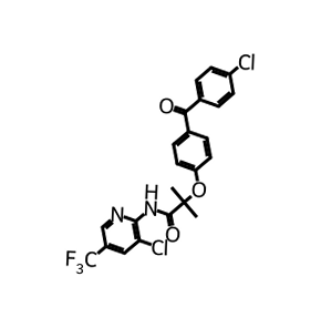 CC(C)(Oc1ccc(C(=O)c2ccc(Cl)cc2)cc1)C(=O)Nc1ncc(C(F)(F)F)cc1Cl